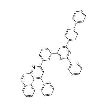 c1ccc(-c2ccc(-c3cc(-c4cccc(-c5cc(-c6ccccc6)c6c(ccc7ccccc76)n5)c4)nc(-c4ccccc4)n3)cc2)cc1